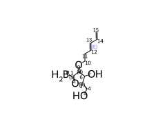 B[C@@H]1O[C@H](CO)C(O)[C@@H]1OCC/C=C/C=C